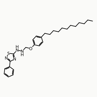 CCCCCCCCCCCCc1ccc(OCNNc2nc(-c3ccccc3)ns2)cc1